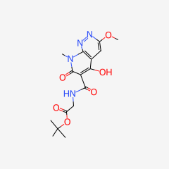 COc1cc2c(O)c(C(=O)NCC(=O)OC(C)(C)C)c(=O)n(C)c2nn1